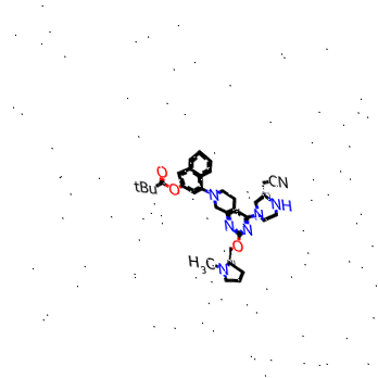 CN1CCC[C@@H]1COc1nc2c(c(N3CCN[C@@H](CC#N)C3)n1)CCN(c1cc(OC(=O)C(C)(C)C)cc3ccccc13)C2